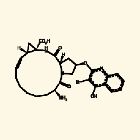 N[C@H]1CCCCCC=C[C@@H]2C[C@@]2(C(=O)O)NC(=O)[C@@H]2C[C@@H](Oc3nc4ccccc4c(O)c3Br)CN2C1=O